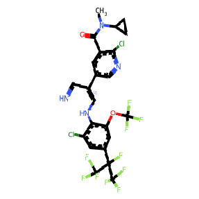 CN(C(=O)c1cc(/C(C=N)=C/Nc2c(Cl)cc(C(F)(C(F)(F)F)C(F)(F)F)cc2OC(F)(F)F)cnc1Cl)C1CC1